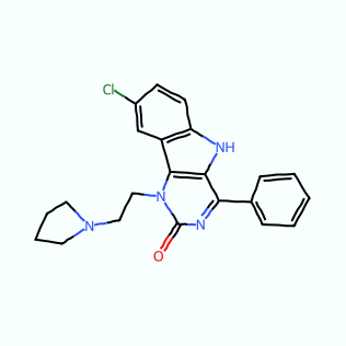 O=c1nc(-c2ccccc2)c2[nH]c3ccc(Cl)cc3c2n1CCN1CCCC1